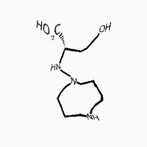 O=C(O)[C@H](CO)NN1CCNCC1